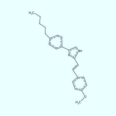 CCCCCc1ccc(-c2c[nH]c(C=Cc3ccc(OC)cc3)n2)cc1